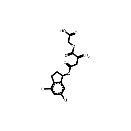 C=C(CC(=O)OC1CCc2c(Cl)cc(Cl)cc21)C(=O)OCC(=O)O